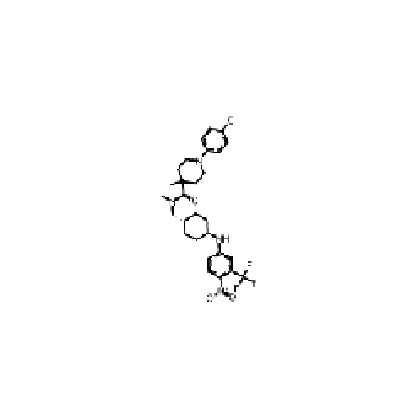 CN(C[C@H]1CC[C@H](Nc2ccc([N+](=O)[O-])c(C(F)(F)F)c2)CC1)C(=O)C1(C)CCN(c2ccc(Cl)cc2)CC1